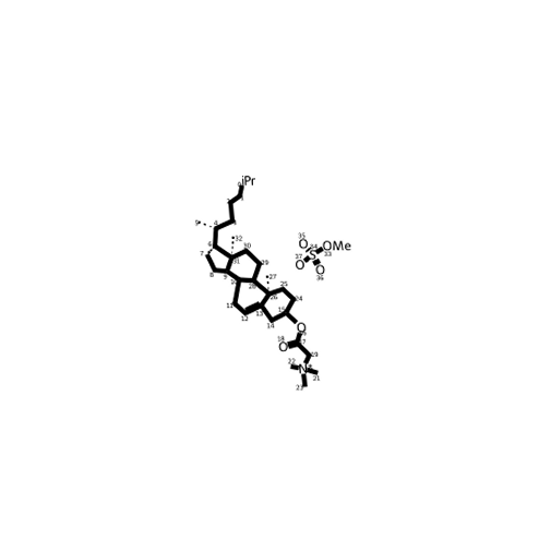 CC(C)CCC[C@@H](C)[C@H]1CCC2C3CC=C4CC(OC(=O)C[N+](C)(C)C)CC[C@]4(C)C3CC[C@@]21C.COS(=O)(=O)[O-]